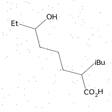 CCC(O)CC[CH]C(C(=O)O)C(C)CC